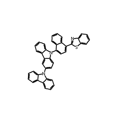 c1ccc2sc(-c3ccc(-n4c5ccccc5c5cc(-n6c7ccccc7c7ccccc76)ccc54)c4ccccc34)nc2c1